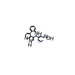 C\C=C/C(=C\C=N\O)C1Nc2ccccc2-c2ccnc3[nH]cc1c23